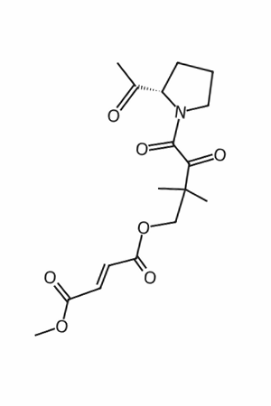 COC(=O)/C=C/C(=O)OCC(C)(C)C(=O)C(=O)N1CCC[C@H]1C(C)=O